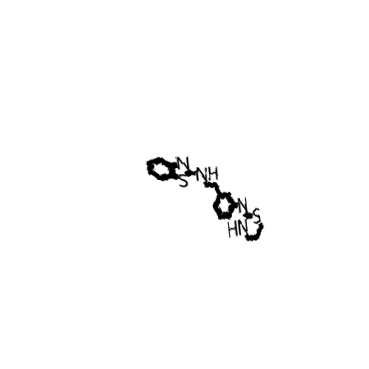 c1cc(CCNc2nc3ccccc3s2)cc(/N=C2\NCCCS2)c1